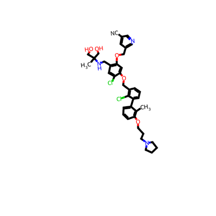 Cc1c(OCCCN2CCCC2)cccc1-c1cccc(COc2cc(OCc3cncc(C#N)c3)c(CNC(C)(CO)CO)cc2Cl)c1Cl